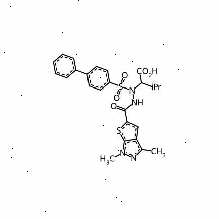 Cc1nn(C)c2sc(C(=O)NN(C(C(=O)O)C(C)C)S(=O)(=O)c3ccc(-c4ccccc4)cc3)cc12